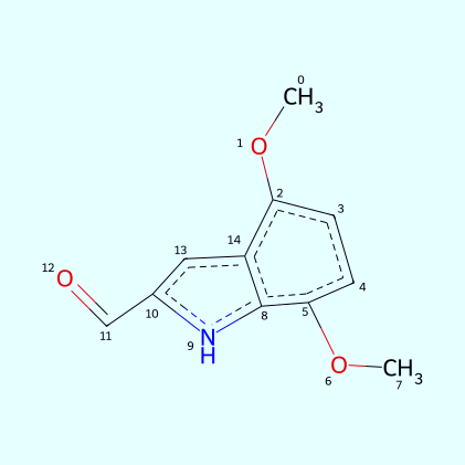 COc1ccc(OC)c2[nH]c(C=O)cc12